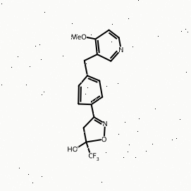 COc1ccncc1Cc1ccc(C2=NOC(O)(C(F)(F)F)C2)cc1